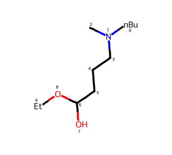 CCCCN(C)CCCC(O)OCC